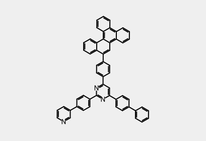 c1ccc(-c2ccc(-c3cc(-c4ccc(-c5cc6c7ccccc7c7ccccc7c6c6ccccc56)cc4)nc(-c4ccc(-c5cccnc5)cc4)n3)cc2)cc1